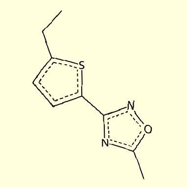 CCc1ccc(-c2noc(C)n2)s1